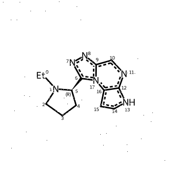 CCN1CCC[C@@H]1c1nnc2cnc3[nH]ccc3n12